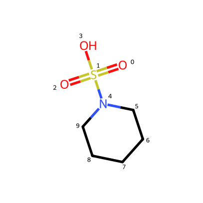 O=S(=O)(O)N1CCCCC1